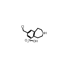 ClCc1ccc2c(c1)CCNCC2.O=[N+]([O-])O